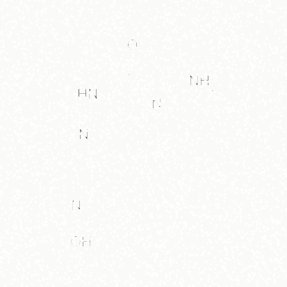 NN1CC(/C=N/O)=NNC1=O